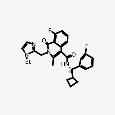 CCn1ccnc1Cn1c(C)c(C(=O)N[C@H](c2cccc(F)c2)C2CCC2)c2cccc(F)c2c1=O